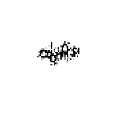 Cc1nncn1-c1cccc(NC(=O)c2cccc3c2[nH]c2ccccc23)c1